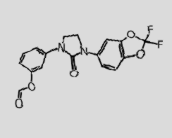 O=COc1cccc(N2CCN(c3ccc4c(c3)OC(F)(F)O4)C2=O)c1